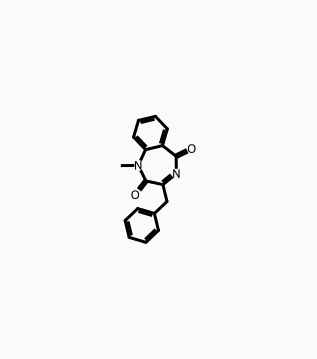 Cn1c(=O)c(Cc2ccccc2)nc(=O)c2ccccc21